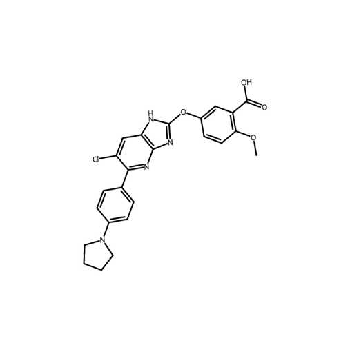 COc1ccc(Oc2nc3nc(-c4ccc(N5CCCC5)cc4)c(Cl)cc3[nH]2)cc1C(=O)O